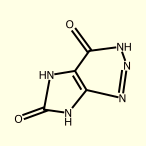 O=c1[nH]c2nn[nH]c(=O)c2[nH]1